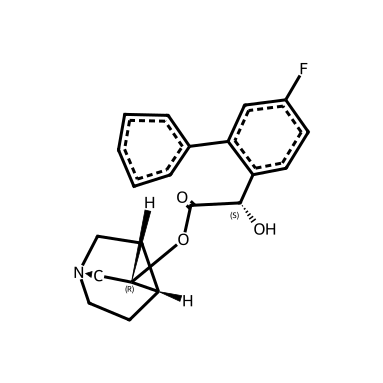 O=C(O[C@H]1C[N@]2CC[C@H]1CC2)[C@@H](O)c1ccc(F)cc1-c1ccccc1